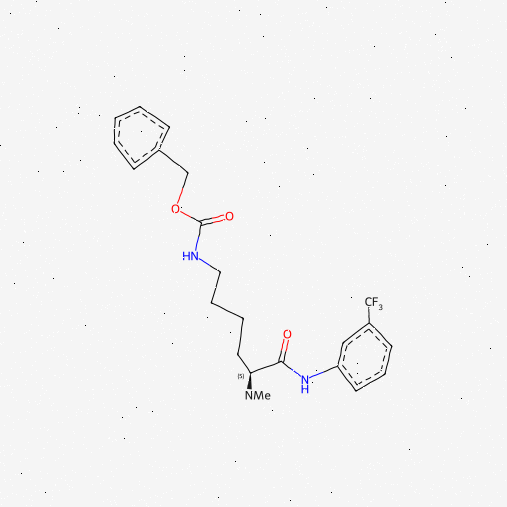 CN[C@@H](CCCCNC(=O)OCc1ccccc1)C(=O)Nc1cccc(C(F)(F)F)c1